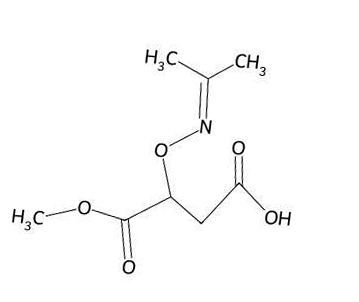 COC(=O)C(CC(=O)O)ON=C(C)C